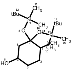 CC1CCC(O)CC1(O[Si](C)(C)C(C)(C)C)O[Si](C)(C)C(C)(C)C